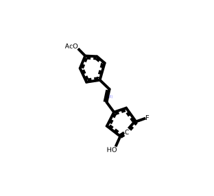 CC(=O)Oc1ccc(/C=C/c2cc(O)cc(F)c2)cc1